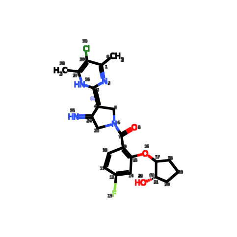 CC1=N/C(=C2\CN(C(=O)c3ccc(F)cc3OC3CCC[C@@H]3O)CC2=N)NC(C)=C1Cl